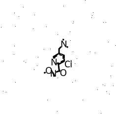 CON(C)C(=O)c1ncc(CN(C)C)cc1Cl